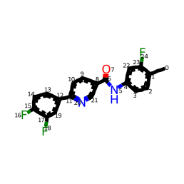 Cc1ccc(NC(=O)c2ccc(-c3ccc(F)c(F)c3)nc2)cc1F